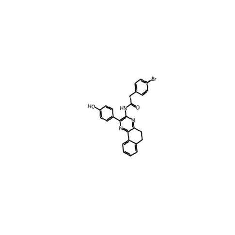 O=C(Cc1ccc(Br)cc1)Nc1nc2c(nc1-c1ccc(O)cc1)-c1ccccc1CC2